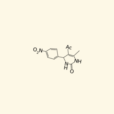 CC(=O)C1=C(C)NC(=O)NC1c1ccc([N+](=O)[O-])cc1